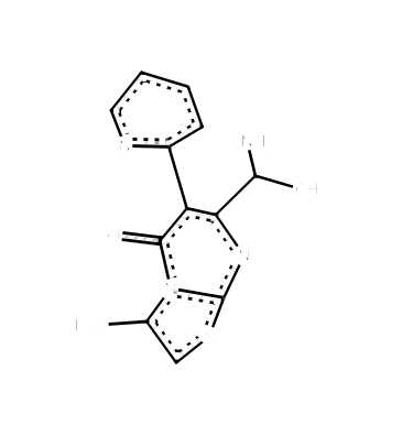 Cc1csc2nc(C(C)N)c(-c3ccccn3)c(=O)n12